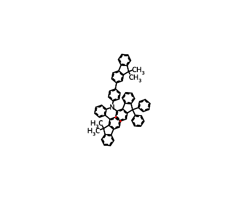 CC1(C)c2ccccc2-c2ccc(-c3ccc(N(c4ccccc4-c4cccc5c4C(C)(C)c4ccccc4-5)c4cccc5c4-c4ccccc4C5(c4ccccc4)c4ccccc4)cc3)cc21